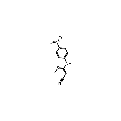 CS/C(=N\C#N)Nc1ccc([N+](=O)[O-])cc1